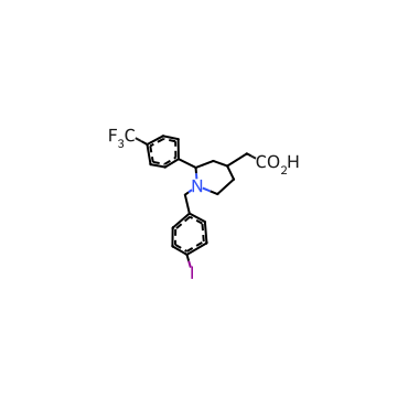 O=C(O)CC1CCN(Cc2ccc(I)cc2)C(c2ccc(C(F)(F)F)cc2)C1